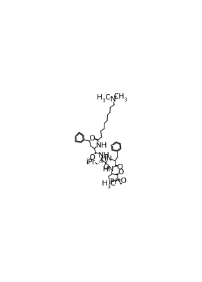 CC(C)CC(NC(=O)C(Cc1ccccc1)NC(=O)[C@H](CC(C)C)NC(=O)C(CCc1ccccc1)NC(=O)CCCCCCCCCN(C)C)C(=O)[C@@]1(C)CO1